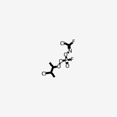 CC(Cl)C(C)OOP(=O)(F)ON=C(F)Cl